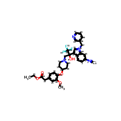 [C-]#[N+]c1ccc2c(C(O)(CN3CCC(Oc4ccc(CC(=O)OCC)cc4OC)CC3)C(F)(F)F)cn(Cc3cccnc3)c2c1